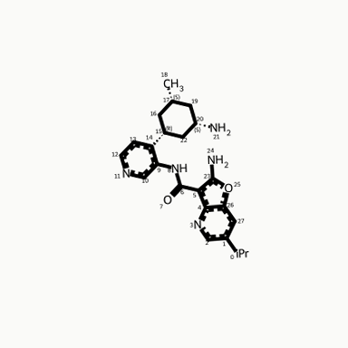 CC(C)c1cnc2c(C(=O)Nc3cnccc3[C@@H]3C[C@H](C)C[C@H](N)C3)c(N)oc2c1